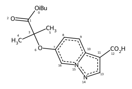 CC(C)COC(=O)C(C)(C)Oc1ccc2c(C(=O)O)cnn2c1